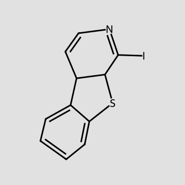 IC1=NC=CC2c3ccccc3SC12